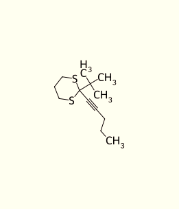 CCCC#CC1(C(C)(C)C)SCCCS1